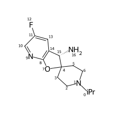 CC(C)N1CCC2(CC1)Oc1ncc(F)cc1[C@@H]2N